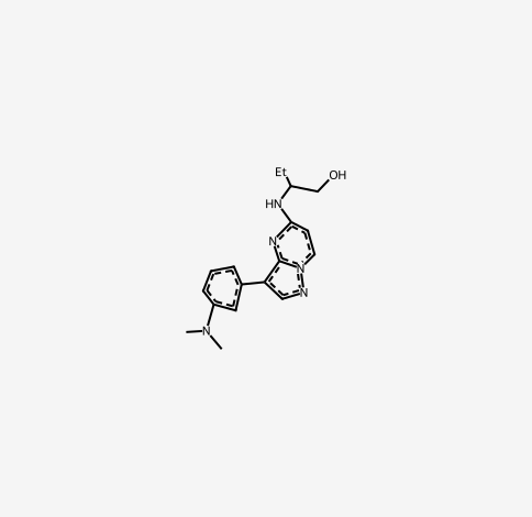 CCC(CO)Nc1ccn2ncc(-c3cccc(N(C)C)c3)c2n1